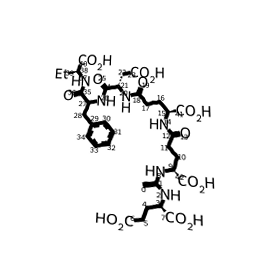 C=C(N[C@H](CCC(=O)O)C(=O)O)N[C@H](CCC(=O)N[C@@H](CCC(=O)N[C@@H](CC(=O)O)C(=O)NC(Cc1ccccc1)C(=O)N[C@@H](CC)C(=O)O)C(=O)O)C(=O)O